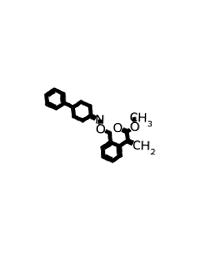 C=C(C(=O)OC)c1ccccc1CON=C1CCC(c2ccccc2)CC1